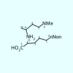 CCCCCCCCCCCCCC(=O)O.CNCCC(C)N